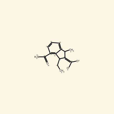 CCC1C(=C(Cl)Cl)C(C)c2cccc(C(N)=O)c21